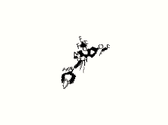 FC(F)Oc1ccc(-c2nnc(NC3CCOCC3)n3cncc23)c(OC(F)(F)F)c1